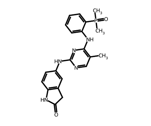 Cc1cnc(Nc2ccc3c(c2)CC(=O)N3)nc1Nc1ccccc1P(C)(C)=O